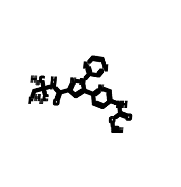 CC(C)(CF)NC(=O)c1cc(-c2ccc(NC(=O)OC(C)(C)C)cn2)n(-c2cnccn2)n1